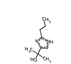 CCCc1nc(C(C)(C)O)c[nH]1